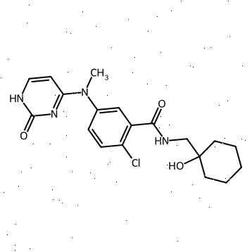 CN(c1ccc(Cl)c(C(=O)NCC2(O)CCCCC2)c1)c1cc[nH]c(=O)n1